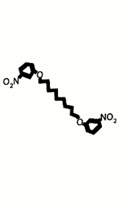 O=[N+]([O-])c1cccc(OCCCCCCCCCCOc2cccc([N+](=O)[O-])c2)c1